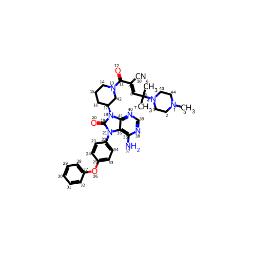 CN1CCN(C(C)(C)C=C(C#N)C(=O)N2CCC[C@H](n3c(=O)n(-c4ccc(Oc5ccccc5)cc4)c4c(N)ncnc43)C2)CC1